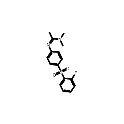 CC(=Nc1ccc(S(=O)(=O)c2ccccc2F)cc1)N(C)C